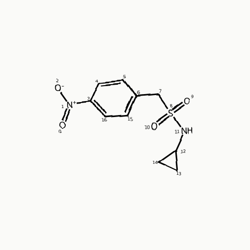 O=[N+]([O-])c1ccc(CS(=O)(=O)NC2CC2)cc1